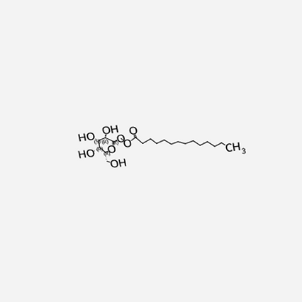 CCCCCCCCCCCCCC(=O)OO[C@H]1O[C@H](CO)[C@H](O)[C@H](O)[C@H]1O